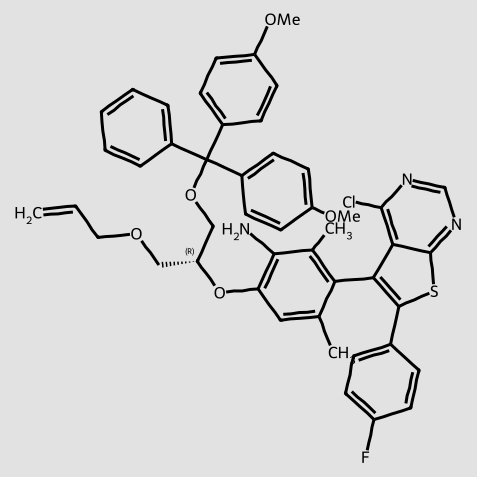 C=CCOC[C@H](COC(c1ccccc1)(c1ccc(OC)cc1)c1ccc(OC)cc1)Oc1cc(C)c(-c2c(-c3ccc(F)cc3)sc3ncnc(Cl)c23)c(C)c1N